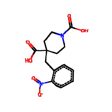 O=C(O)N1CCC(Cc2ccccc2[N+](=O)[O-])(C(=O)O)CC1